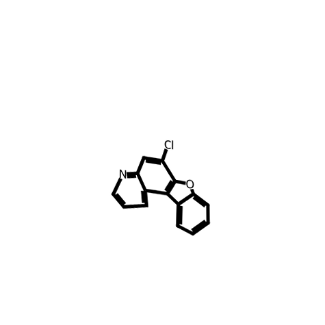 Clc1cc2ncccc2c2c1oc1ccccc12